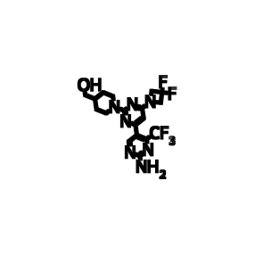 Nc1ncc(-c2cc(N3CC(F)(F)C3)nc(N3CCC(CO)CC3)n2)c(C(F)(F)F)n1